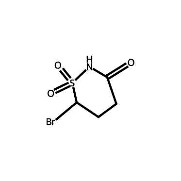 O=C1CCC(Br)S(=O)(=O)N1